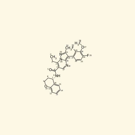 CCc1c(C(=O)N[C@H]2CCOc3ccccc32)cnc2c(-c3ccc(F)c(OC)c3F)c(C)nn12